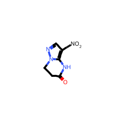 O=C1CCn2ncc([N+](=O)[O-])c2N1